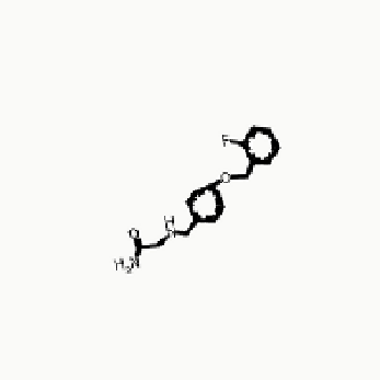 NC(=O)CNCc1ccc(OCc2ccccc2F)cc1